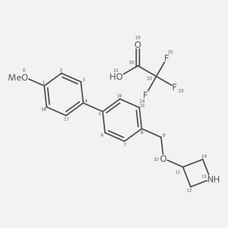 COc1ccc(-c2ccc(COC3CNC3)cc2)cc1.O=C(O)C(F)(F)F